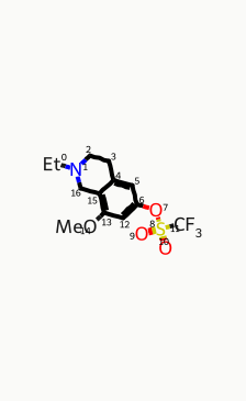 CCN1CCc2cc(OS(=O)(=O)C(F)(F)F)cc(OC)c2C1